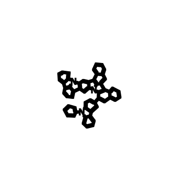 c1ccc(-n2c3ccccc3c3cc(-c4cc5ccccc5c5c6cc7ccccc7c7c8cc9c(cc8n(c45)c67)c4cccc5c6ccccc6n9c54)ccc32)cc1